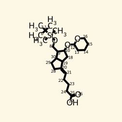 CC(C)(C)[Si](C)(C)OCC1C(OC2CCCCO2)CC2C(=CCCCC(=O)O)CCC21